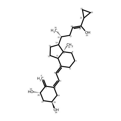 C=C1/C(=C\C=C2/CCC[C@@]3(C)C2CCC3[C@H](C)C/C=C(\O)C2CC2)C[C@@H](O)C[C@@H]1O